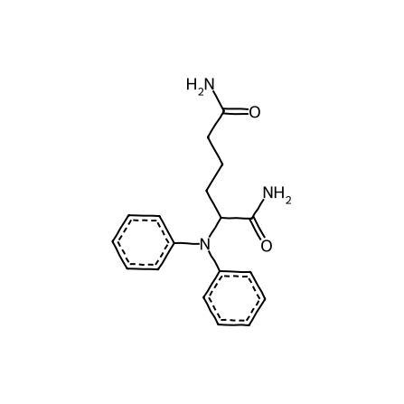 NC(=O)CCCC(C(N)=O)N(c1ccccc1)c1ccccc1